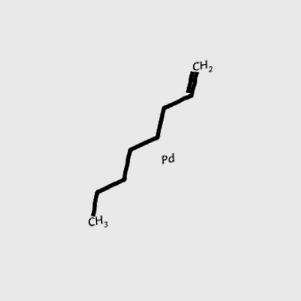 C=CCCCCCC.[Pd]